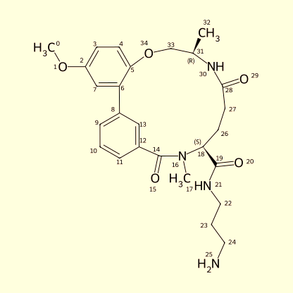 COc1ccc2c(c1)-c1cccc(c1)C(=O)N(C)[C@H](C(=O)NCCCN)CCC(=O)N[C@H](C)CO2